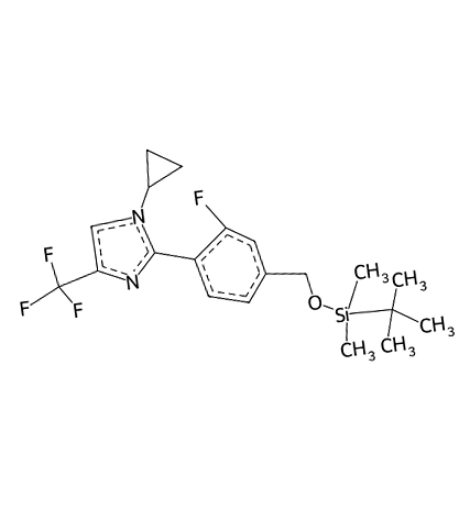 CC(C)(C)[Si](C)(C)OCc1ccc(-c2nc(C(F)(F)F)cn2C2CC2)c(F)c1